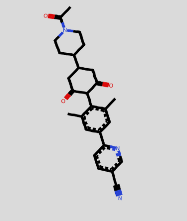 CC(=O)N1CCC(C2CC(=O)C(c3c(C)cc(-c4ccc(C#N)cn4)cc3C)C(=O)C2)CC1